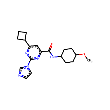 COC1CCC(NC(=O)c2cc(C3CCC3)nc(-n3ccnc3)n2)CC1